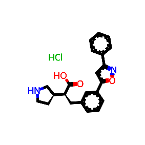 Cl.O=C(O)[C@@H](Cc1cccc(-c2cc(-c3ccccc3)no2)c1)[C@H]1CCNC1